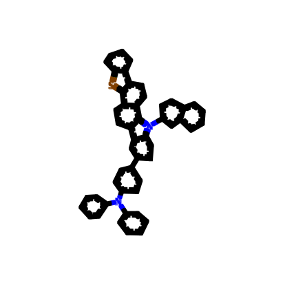 c1ccc(N(c2ccccc2)c2ccc(-c3ccc4c(c3)c3ccc5c(ccc6c7ccccc7sc65)c3n4-c3ccc4ccccc4c3)cc2)cc1